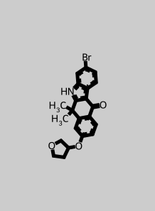 CC1(C)c2cc(OC3CCOC3)ccc2C(=O)c2c1[nH]c1cc(Br)ccc21